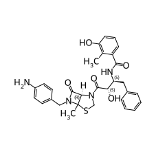 Cc1c(O)cccc1C(=O)N[C@@H](Cc1ccccc1)[C@H](O)C(=O)N1CSC2(C)[C@H]1C(=O)N2Cc1ccc(N)cc1